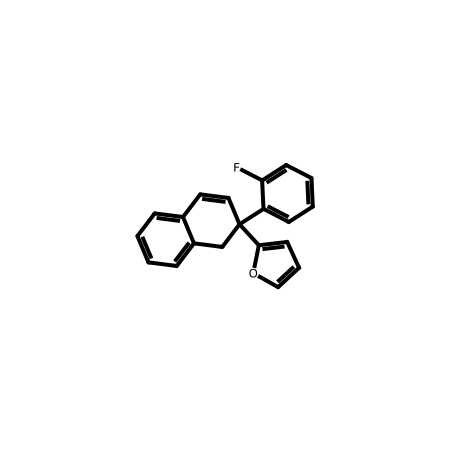 Fc1ccccc1C1(c2ccco2)C=Cc2ccccc2C1